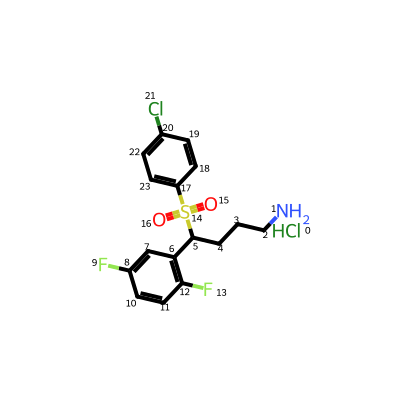 Cl.NCCCC(c1cc(F)ccc1F)S(=O)(=O)c1ccc(Cl)cc1